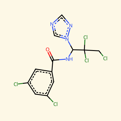 O=C(NC(n1cncn1)C(Cl)(Cl)CCl)c1cc(Cl)cc(Cl)c1